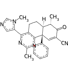 Cc1nc(-c2cncn2C)c2c(n1)[C@@]1(c3ccccc3)C=C(C#N)C(=O)[C@@H](C)[C@@H]1CC2